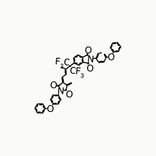 C=C(/C=C\C(=C/C)N1C(=O)c2ccc(C(/C(C)=C/C=C3\C(=C)C(=O)N(c4ccc(Oc5ccccc5)cc4)C3=O)(C(F)(F)F)C(F)(F)F)cc2C1=O)Oc1ccccc1